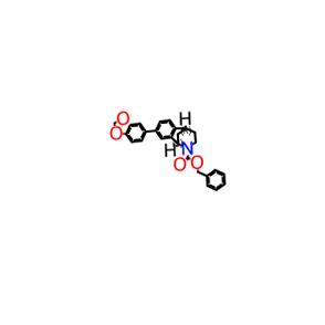 O=C(OCc1ccccc1)N1CC[C@@H]2C[C@H]1c1cc(-c3ccc4c(c3)OCO4)ccc12